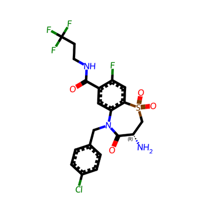 N[C@H]1CS(=O)(=O)c2cc(F)c(C(=O)NCCC(F)(F)F)cc2N(Cc2ccc(Cl)cc2)C1=O